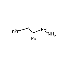 CCCCCPN.[Ru]